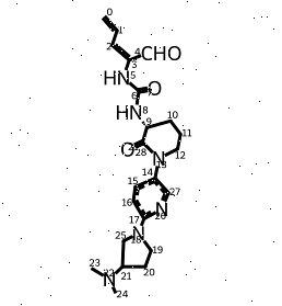 C=C/C=C(\C=O)NC(=O)N[C@@H]1CCCN(c2ccc(N3CCC(N(C)C)C3)nc2)C1=O